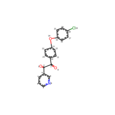 O=C(C(=O)c1cccnc1)c1ccc(Oc2ccc(Cl)cc2)cc1